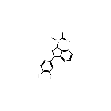 CC(=O)N(C)C1CC(c2ccc(F)c(Cl)c2)c2ccccc21